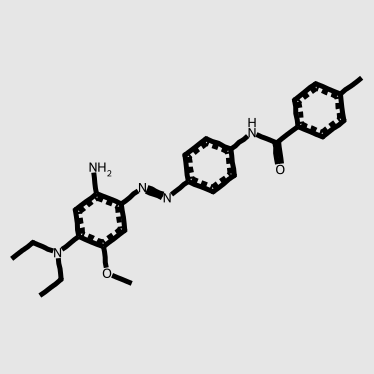 CCN(CC)c1cc(N)c(/N=N/c2ccc(NC(=O)c3ccc(C)cc3)cc2)cc1OC